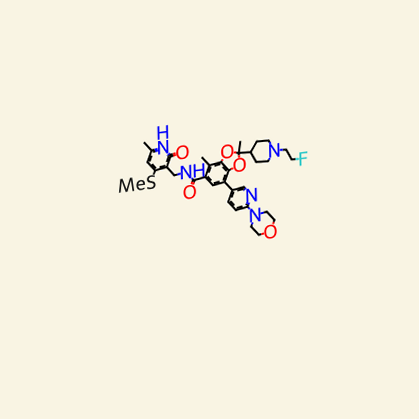 CSc1cc(C)[nH]c(=O)c1CNC(=O)c1cc(-c2ccc(N3CCOCC3)nc2)c2c(c1C)OC(C)(C1CCN(CCF)CC1)O2